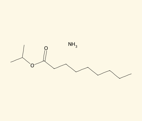 CCCCCCCCC(=O)OC(C)C.N